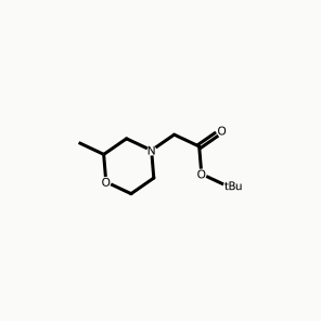 CC1CN(CC(=O)OC(C)(C)C)CCO1